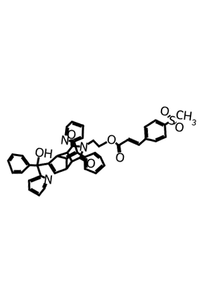 CS(=O)(=O)c1ccc(C=CC(=O)OCCN2C(=O)C3C4C=C(C(O)(c5ccccc5)c5ccccn5)C(C4=C(c4ccccc4)c4ccccn4)C3C2=O)cc1